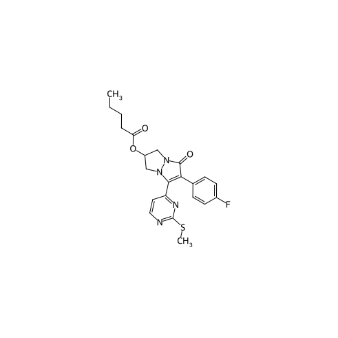 CCCCC(=O)OC1Cn2c(-c3ccnc(SC)n3)c(-c3ccc(F)cc3)c(=O)n2C1